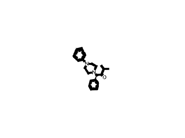 CC(C)C(=O)[C@@H](c1ccccc1)N1CCN(c2ccccc2)CC1